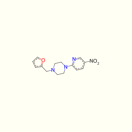 O=[N+]([O-])c1ccc(N2CCN(Cc3ccco3)CC2)nc1